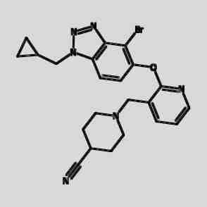 N#CC1CCN(Cc2cccnc2Oc2ccc3c(nnn3CC3CC3)c2Br)CC1